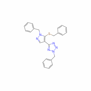 c1ccc(CSc2c(-c3nnn(Cc4ccccc4)n3)cnn2Cc2ccccc2)cc1